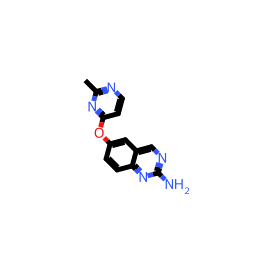 Cc1nccc(Oc2ccc3nc(N)ncc3c2)n1